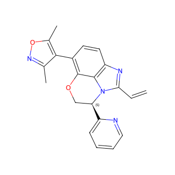 C=Cc1nc2ccc(-c3c(C)noc3C)c3c2n1[C@@H](c1ccccn1)CO3